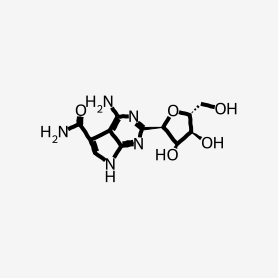 NC(=O)c1c[nH]c2nc([C@H]3O[C@H](CO)[C@@H](O)[C@H]3O)nc(N)c12